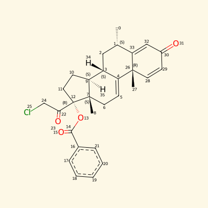 C[C@H]1C[C@@H]2C(=CC[C@@]3(C)[C@H]2CC[C@]3(OC(=O)c2ccccc2)C(=O)CCl)[C@@]2(C)C=CC(=O)C=C12